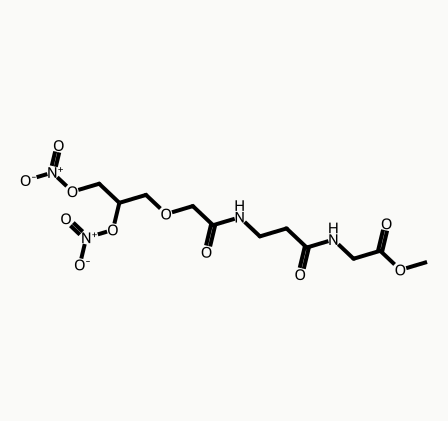 COC(=O)CNC(=O)CCNC(=O)COCC(CO[N+](=O)[O-])O[N+](=O)[O-]